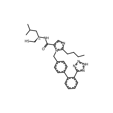 CCCCc1ncc(C(=O)N[C@@H](CS)CC(C)C)n1Cc1ccc(-c2ccccc2-c2nn[nH]n2)cc1